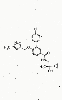 Cc1cc(COc2ncc(C(=O)NC[C@@](C)(O)C3CC3)cc2-c2ccc(Cl)cc2)on1